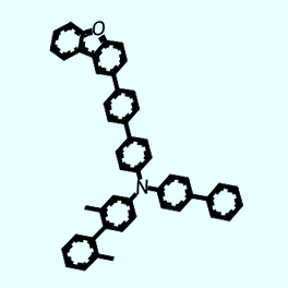 Cc1ccccc1-c1ccc(N(c2ccc(-c3ccccc3)cc2)c2ccc(-c3ccc(-c4ccc5oc6ccccc6c5c4)cc3)cc2)cc1C